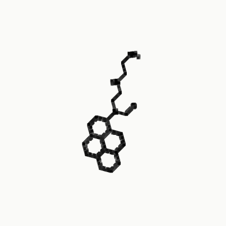 NCCNCCN(C=O)c1ccc2ccc3cccc4ccc1c2c34